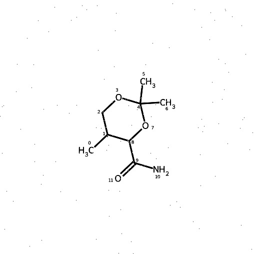 C[C]1COC(C)(C)OC1C(N)=O